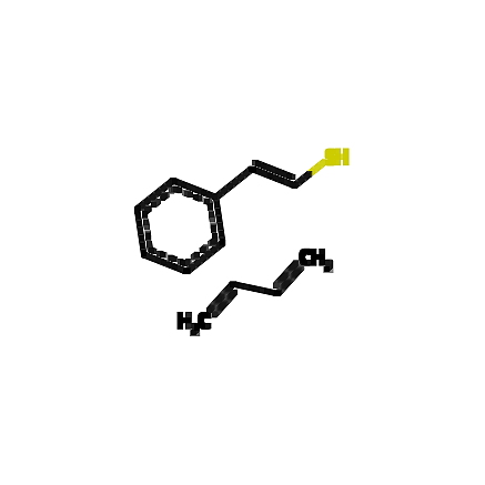 C=CC=C.SC=Cc1ccccc1